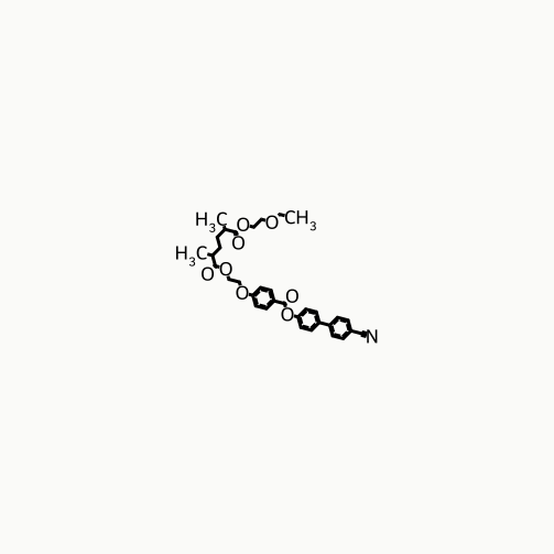 CCOCCOC(=O)C(C)CCC(C)C(=O)OCCOc1ccc(C(=O)Oc2ccc(-c3ccc(C#N)cc3)cc2)cc1